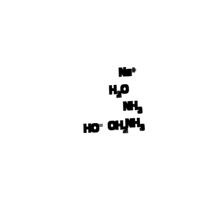 N.N.O.O.[Na+].[OH-]